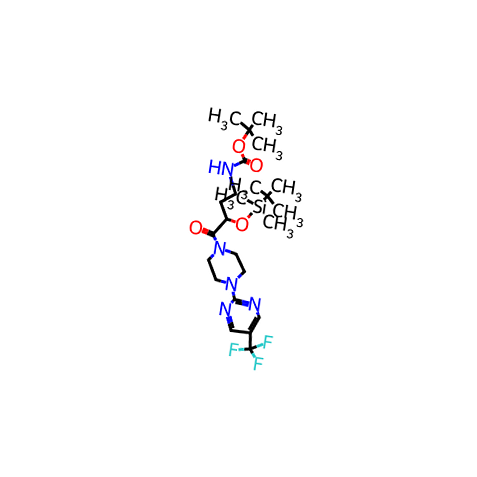 CC(C)(C)OC(=O)NCCC(O[Si](C)(C)C(C)(C)C)C(=O)N1CCN(c2ncc(C(F)(F)F)cn2)CC1